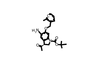 CC(=O)[C@@H]1CN(C(=O)OC(C)(C)C)c2cc(OCc3ccccc3C)c(N)cc21